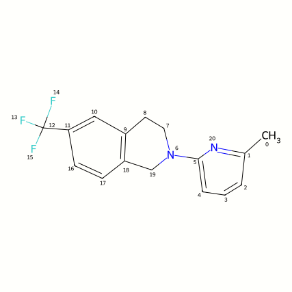 Cc1cccc(N2CCc3cc(C(F)(F)F)ccc3C2)n1